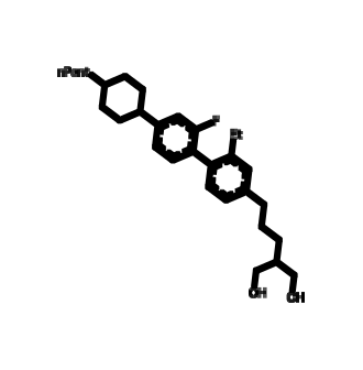 CCCCCC1CCC(c2ccc(-c3ccc(CCCC(CO)CO)cc3CC)c(F)c2)CC1